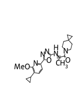 COc1nc(-c2nnc(N[C@H](C)C(=O)N3CCC4(CC3)CC4)o2)ccc1C1CC1